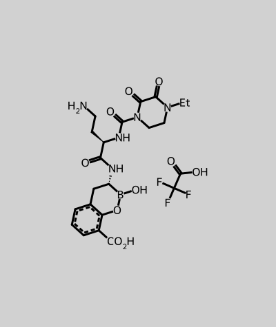 CCN1CCN(C(=O)N[C@H](CCN)C(=O)N[C@H]2Cc3cccc(C(=O)O)c3OB2O)C(=O)C1=O.O=C(O)C(F)(F)F